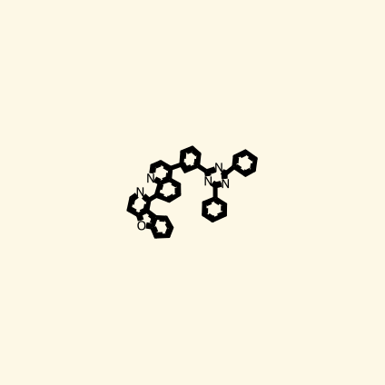 c1ccc(-c2nc(-c3ccccc3)nc(-c3cccc(-c4ccnc5c(-c6nccc7oc8ccccc8c67)cccc45)c3)n2)cc1